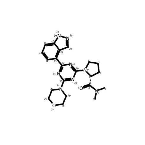 CN(C)C(=O)[C@H]1CCCN1c1nc(-c2cccc3[nH]ncc23)nc(N2CCOCC2)n1